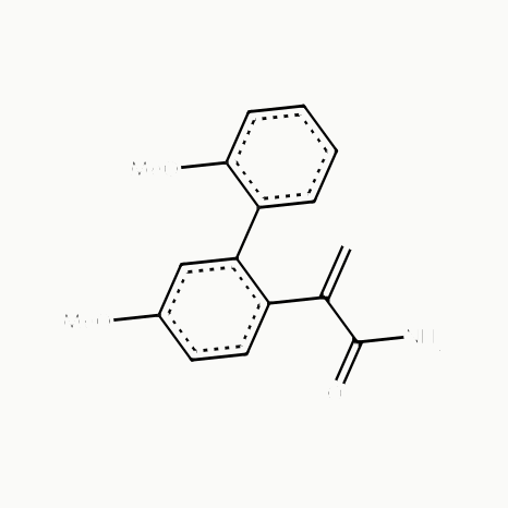 C=C(C(N)=O)c1ccc(OC)cc1-c1ccccc1OC